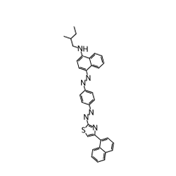 CCC(C)CNc1ccc(N=Nc2ccc(N=Nc3nc(-c4cccc5ccccc45)cs3)cc2)c2ccccc12